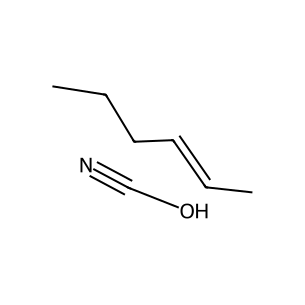 CC=CCCC.N#CO